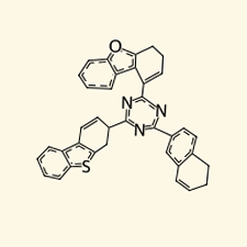 C1=Cc2cc(-c3nc(C4=CCCc5oc6ccccc6c54)nc(C4C=Cc5c(sc6ccccc56)C4)n3)ccc2CC1